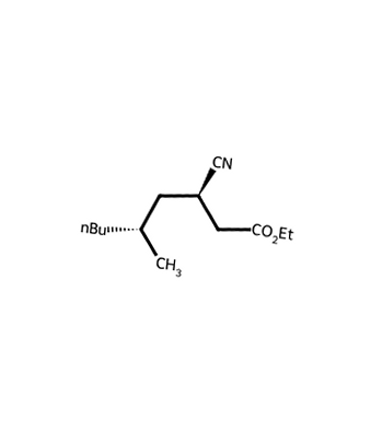 CCCC[C@@H](C)C[C@@H](C#N)CC(=O)OCC